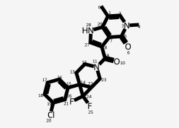 Cc1cn(C)c(=O)c2c(C(=O)N3CCC4(c5cccc(Cl)c5)C(C3)C4(F)F)c[nH]c12